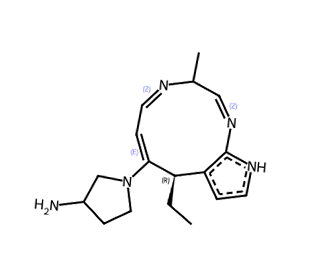 CC[C@H]1/C(N2CCC(N)C2)=C\C=N/C(C)/C=N\c2[nH]ccc21